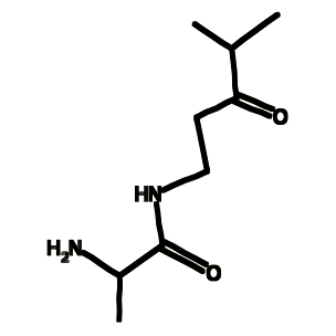 CC(C)C(=O)CCNC(=O)C(C)N